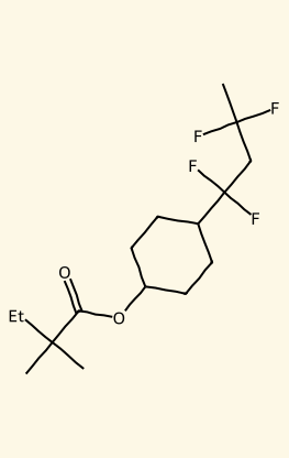 CCC(C)(C)C(=O)OC1CCC(C(F)(F)CC(C)(F)F)CC1